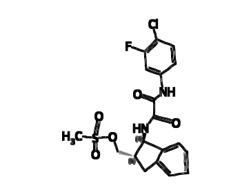 CS(=O)(=O)OC[C@H]1Cc2ccccc2[C@@H]1NC(=O)C(=O)Nc1ccc(Cl)c(F)c1